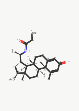 CC[C@@H](NC(=O)COC(C)=O)[C@H]1C[C@H](OC(C)=O)[C@@]2(C)CC[C@H]3[C@@H](CCC4=CC(=O)C=C(C)[C@@]43C)[C@H]12